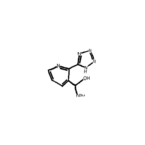 CCCCC(O)c1cccnc1-c1nnn[nH]1